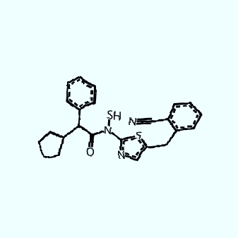 N#Cc1ccccc1Cc1cnc(N(S)C(=O)C(c2ccccc2)C2CCCC2)s1